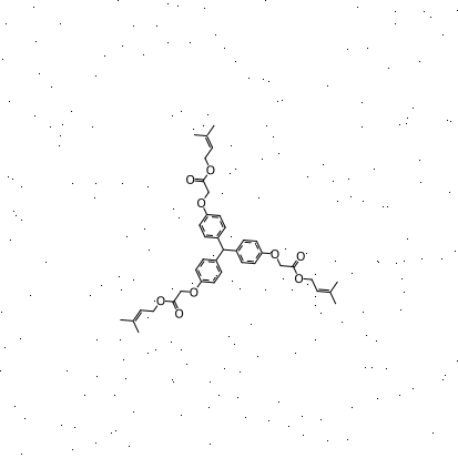 CC(C)=CCOC(=O)COc1ccc(C(c2ccc(OCC(=O)OCC=C(C)C)cc2)c2ccc(OCC(=O)OCC=C(C)C)cc2)cc1